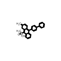 C=C1C=Cc2c(c(P(C)(C)=O)c3ccccc3c2-c2ccc(-c3ccccc3)cc2)C1